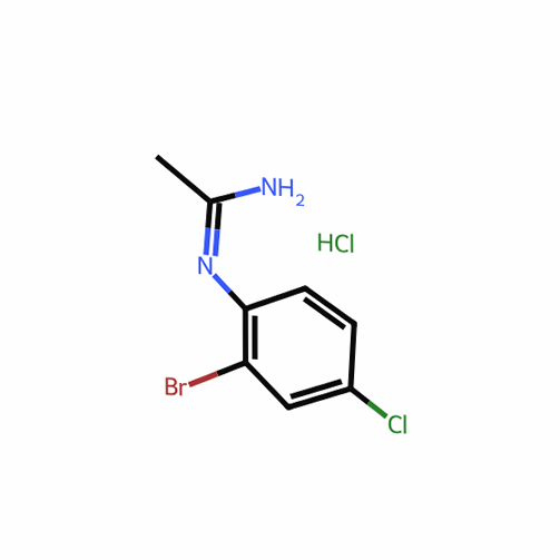 CC(N)=Nc1ccc(Cl)cc1Br.Cl